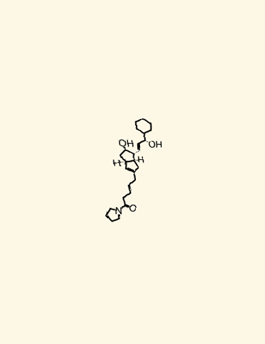 O=C(CCCCC1=C[C@H]2C[C@@H](O)[C@H](/C=C/[C@@H](O)C3CCCCC3)[C@H]2C1)N1CCCC1